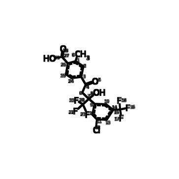 Cc1cc(C(=O)CC(O)(c2cc(Cl)cc(C(F)(F)F)c2)C(F)(F)F)ccc1C(=O)O